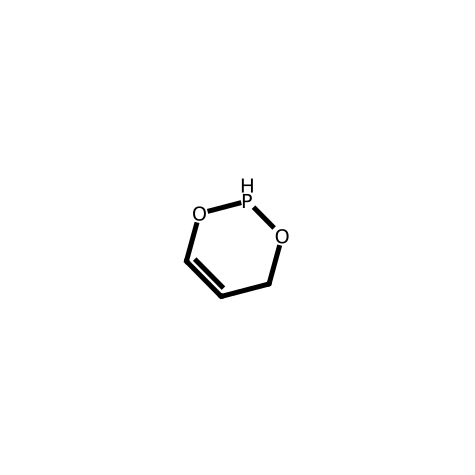 C1=COPOC1